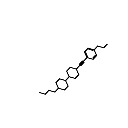 CCCCC1CCC(C2CCC(C#Cc3ccc(CCC)cc3)CC2)CC1